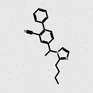 CCCCc1nccn1C(C)c1ccc(-c2ccccc2)c(C#N)c1